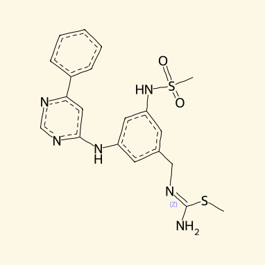 CS/C(N)=N\Cc1cc(Nc2cc(-c3ccccc3)ncn2)cc(NS(C)(=O)=O)c1